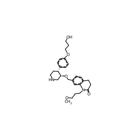 COCCCN1C(=O)CCc2ccc(CO[C@H]3CNCC[C@@H]3c3ccc(OCCCO)cc3)cc21